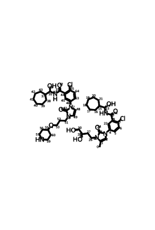 Cc1cn(-c2ccc(Cl)c(C(=O)NC(O)C3CCCCCC3)c2)c(=O)n1CCC(O)CO.O=C(NC(O)C1CCCCCC1)c1cc(-n2ccn(CCCOC3CCNCC3)c2=O)ccc1Cl